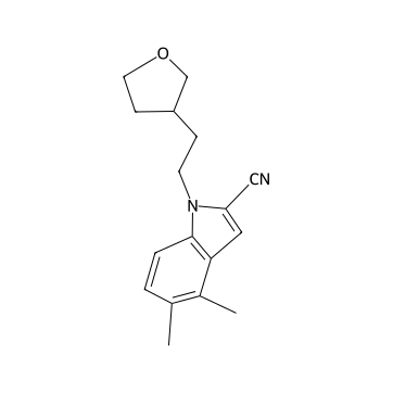 Cc1ccc2c(cc(C#N)n2CCC2CCOC2)c1C